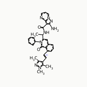 Cc1nn(C)c(C)c1/C=C/c1cccc2cc(C(C)NC(=O)c3c(N)nn4cccnc34)n(-c3ccccc3)c(=O)c12